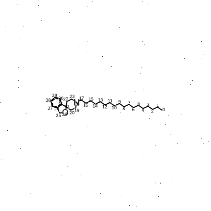 CCCCCCCCCCCCCCCCCCN1CCC2(CC1)OCc1ccccc12